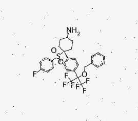 N[C@H]1CC[C@](c2ccc(C(OCc3ccccc3)(C(F)(F)F)C(F)(F)F)cc2)(S(=O)(=O)c2ccc(F)cc2)CC1